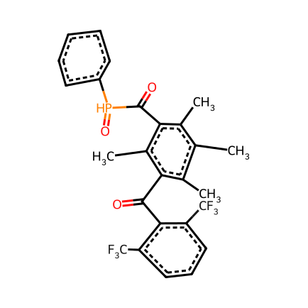 Cc1c(C)c(C(=O)c2c(C(F)(F)F)cccc2C(F)(F)F)c(C)c(C(=O)[PH](=O)c2ccccc2)c1C